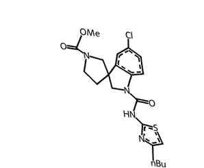 CCCCc1csc(NC(=O)N2CC3(CCN(C(=O)OC)C3)c3cc(Cl)ccc32)n1